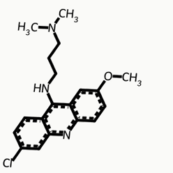 COc1ccc2nc3cc(Cl)ccc3c(NCCCN(C)C)c2c1